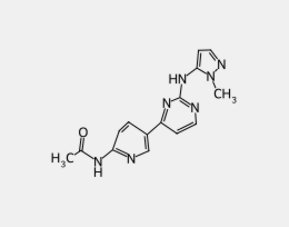 CC(=O)Nc1ccc(-c2ccnc(Nc3ccnn3C)n2)cn1